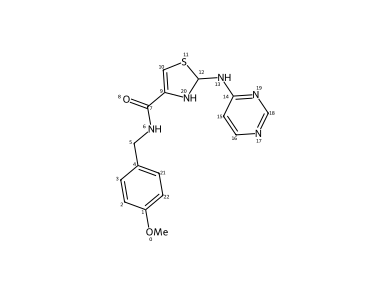 COc1ccc(CNC(=O)C2=CSC(Nc3ccncn3)N2)cc1